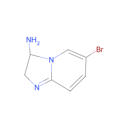 NC1CN=C2C=CC(Br)=CN21